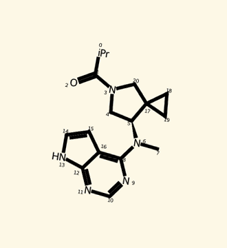 CC(C)C(=O)N1C[C@H](N(C)c2ncnc3[nH]ccc23)C2(CC2)C1